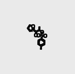 Cc1ccc(S(=O)(=O)OC(C)C(=O)N2CCCO2)cc1